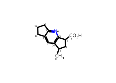 CC1CC(C(=O)O)c2nc3c(cc21)CCC3